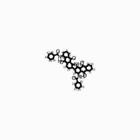 O=C(Nc1cccc2c(=O)c3c(ccc4c5cc(NC(=O)c6ccccc6)c6c(=O)c7ccccc7c(=O)c6c5[nH]c43)c(=O)c12)c1ccccc1